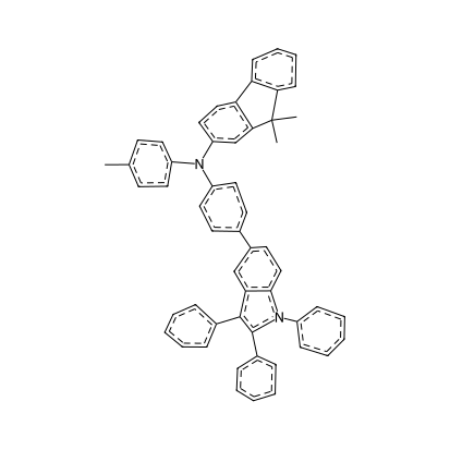 Cc1ccc(N(c2ccc(-c3ccc4c(c3)c(-c3ccccc3)c(-c3ccccc3)n4-c3ccccc3)cc2)c2ccc3c(c2)C(C)(C)c2ccccc2-3)cc1